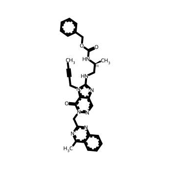 CC#CCn1c(NC[C@H](C)NC(=O)OCc2ccccc2)nc2cnn(Cc3nc(C)c4ccccc4n3)c(=O)c21